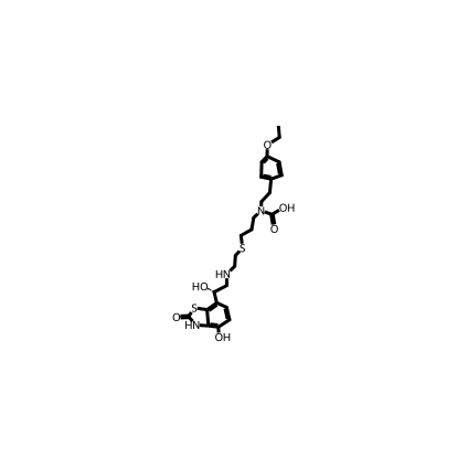 CCOc1ccc(CCN(CCCSCCNC[C@@H](O)c2ccc(O)c3[nH]c(=O)sc23)C(=O)O)cc1